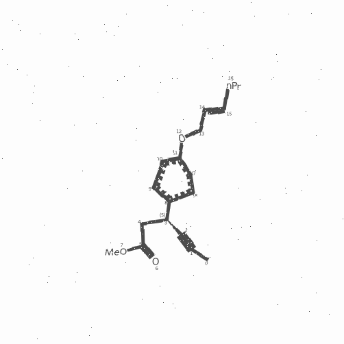 CC#C[C@@H](CC(=O)OC)c1ccc(OCC=CCCC)cc1